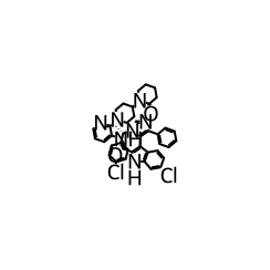 C[C@@H](c1ccc(Cl)cc1)n1cnc(-c2ccccc2)c1-c1c(C(=O)Nc2cccnc2N2CCC(N3CCCCC3=O)CC2)[nH]c2cc(Cl)ccc12